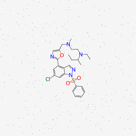 CCC(C)N(CC)CCN(C)Cc1cnc(-c2cc(Cl)cc3c2cnn3S(=O)(=O)c2ccccc2)o1